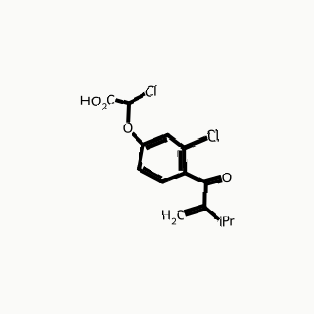 C=C(C(=O)c1ccc(OC(Cl)C(=O)O)cc1Cl)C(C)C